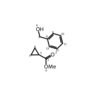 COC(=O)C1CC1.OCc1ccccc1